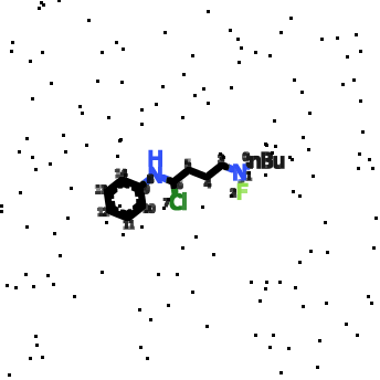 CCCCN(F)CCCC(Cl)Nc1ccccc1